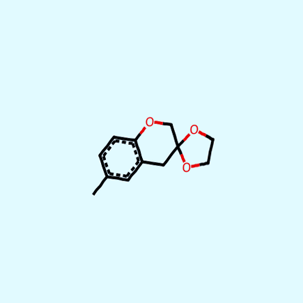 Cc1ccc2c(c1)CC1(CO2)OCCO1